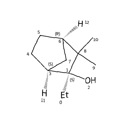 CC[C@]1(O)[C@H]2CC[C@H](C2)C1(C)C